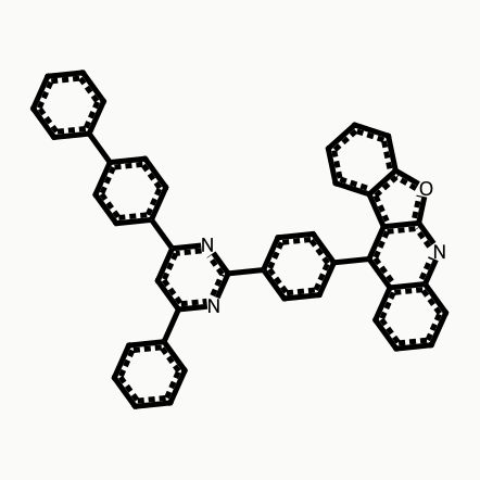 c1ccc(-c2ccc(-c3cc(-c4ccccc4)nc(-c4ccc(-c5c6ccccc6nc6oc7ccccc7c56)cc4)n3)cc2)cc1